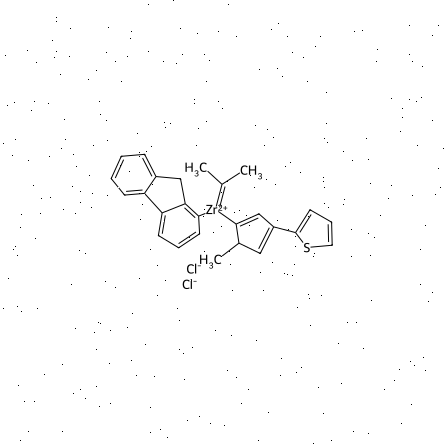 C[C](C)=[Zr+2]([C]1=CC(c2cccs2)=CC1C)[c]1cccc2c1Cc1ccccc1-2.[Cl-].[Cl-]